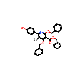 CCc1c(-c2ccc(O)cc2)nc(OCc2ccccc2)c(C(=O)OCc2ccccc2)c1OCc1ccccc1